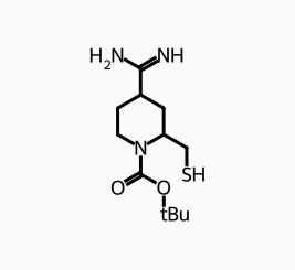 CC(C)(C)OC(=O)N1CCC(C(=N)N)CC1CS